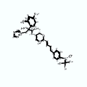 C[C@@H](S[C@H]1CO[C@H](C=CC=Cc2ccc([S+]([O-])C(F)(F)F)cc2)OC1)[C@](O)(Cn1cncn1)c1ccc(F)cc1F